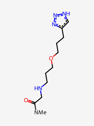 CNC(=O)CNCCCOCCCc1c[nH]nn1